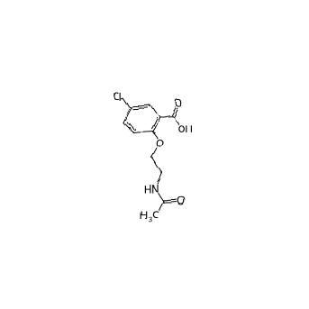 CC(=O)NCCOc1ccc(Cl)cc1C(=O)O